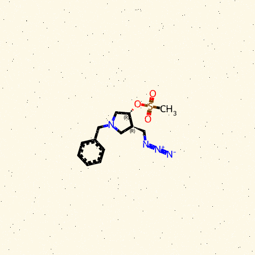 CS(=O)(=O)O[C@H]1CN(Cc2ccccc2)C[C@@H]1CN=[N+]=[N-]